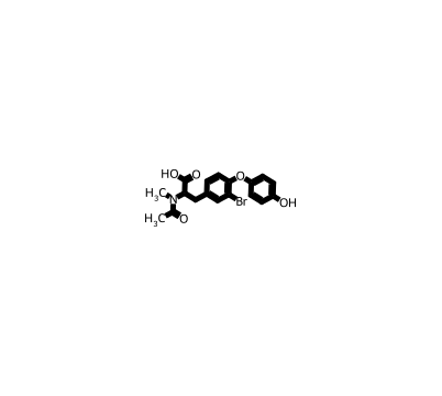 CC(=O)N(C)C(Cc1ccc(Oc2ccc(O)cc2)c(Br)c1)C(=O)O